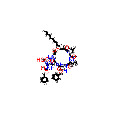 CCCCCCCCCC[C@H]1OC(=O)CNC(=O)[C@H](CN/C(=N\C(=O)O)NC(=O)OCc2ccccc2)NC(=O)[C@H](COCc2ccccc2)NC(=O)[C@H]([C@@H](C)CC)NC(=O)[C@H](CC(C)C)N(C)C(=O)[C@@H]1C